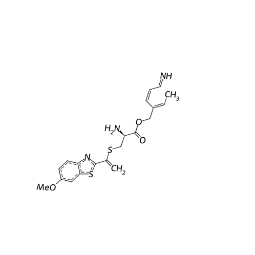 C=C(SC[C@@H](N)C(=O)OCC(/C=C\C=N)=C/C)c1nc2ccc(OC)cc2s1